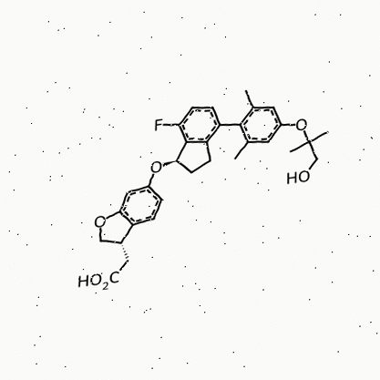 Cc1cc(OC(C)(C)CO)cc(C)c1-c1ccc(F)c2c1CC[C@H]2Oc1ccc2c(c1)OC[C@H]2CC(=O)O